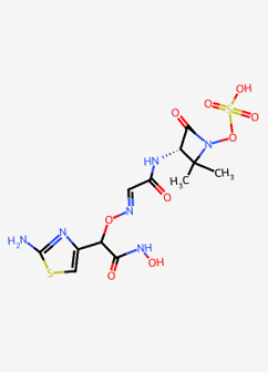 CC1(C)[C@H](NC(=O)C=NOC(C(=O)NO)c2csc(N)n2)C(=O)N1OS(=O)(=O)O